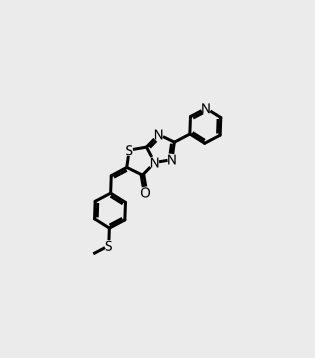 CSc1ccc(/C=c2/sc3nc(-c4cccnc4)nn3c2=O)cc1